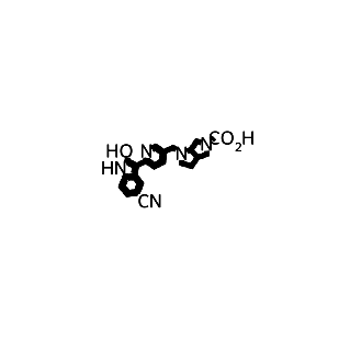 N#Cc1ccc2[nH]c(O)c(-c3ccc(CN4CCC5CN(C(=O)O)CC54)cn3)c2c1